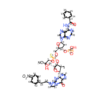 C[C@@H]1[C@H](OP(=S)(OCCC#N)OC[C@H]2O[C@@H](n3cnc4c(NC(=O)c5ccccc5)ncnc43)C[C@@H]2O[PH](=O)O)[C@@H](CO)O[C@H]1n1cnc2c(=O)n3ccn(CCc4ccc([N+](=O)[O-])cc4)c3nc21